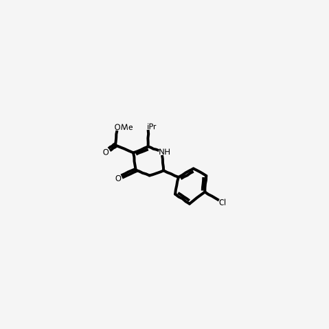 COC(=O)C1=C(C(C)C)NC(c2ccc(Cl)cc2)CC1=O